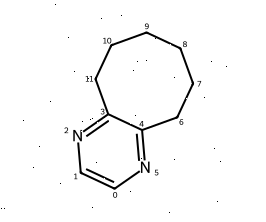 c1cnc2c(n1)CCCCCC2